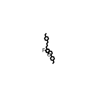 CCC1CCC(CCCCc2cc3c(cc2F)OC(C2CCC(CC)CC2)CC3)CC1